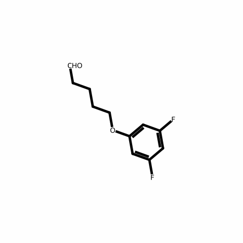 O=CCCCCOc1cc(F)cc(F)c1